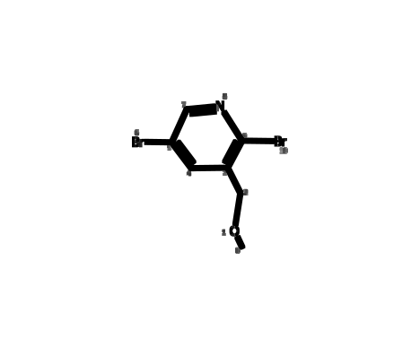 COCc1cc(Br)cnc1Br